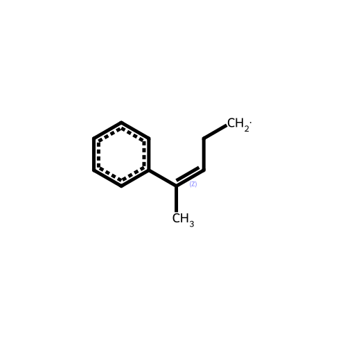 [CH2]C/C=C(/C)c1ccccc1